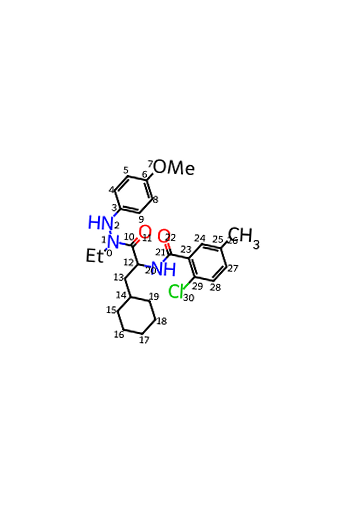 CCN(Nc1ccc(OC)cc1)C(=O)C(CC1CCCCC1)NC(=O)c1cc(C)ccc1Cl